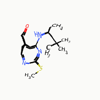 CSc1ncc(C=O)c(NC(C)C(C)(C)C)n1